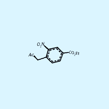 CCOC(=O)c1ccc(CC(C)=O)c([N+](=O)[O-])c1